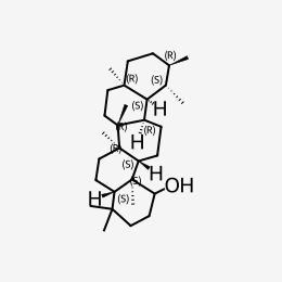 C[C@@H]1[C@H]2[C@H]3CC[C@@H]4[C@@]5(C)C(O)CCC(C)(C)[C@@H]5CC[C@@]4(C)[C@]3(C)CC[C@@]2(C)CC[C@H]1C